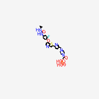 O=C(Nc1ccc(Oc2ccnc3cc(-c4ccc(CN5CCN(C(=O)COP(=O)(O)O)CC5)cn4)sc23)c(F)c1)NC1CC1